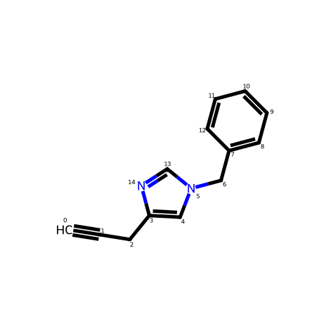 C#CCc1cn(Cc2ccccc2)[c]n1